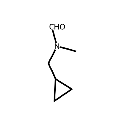 CN(C=O)CC1CC1